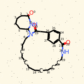 O=C1CCCCC(N2CCCCCCCCCCCCNC(=O)c3ccc(cc3)C2=O)N1